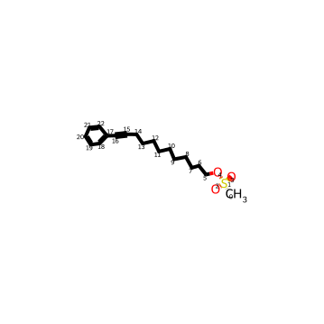 CS(=O)(=O)OCCCCCCCCCCC#Cc1ccccc1